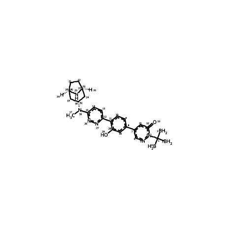 BC(B)(B)n1ncc(-c2ccc(-c3ccc(N(C)[C@@H]4C[C@H]5CC[C@@H](C4)N5)nn3)c(O)c2)cc1=O